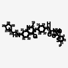 Cc1ccc(S(=O)(=O)NC(=O)Nc2ccc(-n3c(C)nc4cc(NCCN5CCCC5)ccc4c3=O)cc2)s1